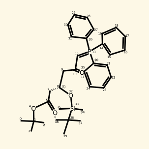 CC(C)(C)OC(=O)C[C@H](CC(=O)C=P(c1ccccc1)(c1ccccc1)c1ccccc1)O[Si](C)(C)C(C)(C)C